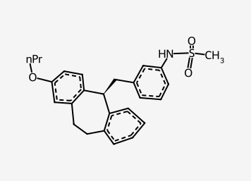 CCCOc1ccc2c(c1)CCc1ccccc1[C@@H]2Cc1cccc(NS(C)(=O)=O)c1